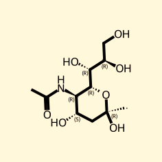 [CH2][C@]1(O)C[C@H](O)[C@@H](NC(C)=O)[C@H]([C@H](O)[C@H](O)CO)O1